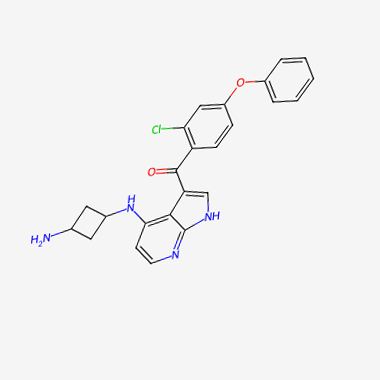 NC1CC(Nc2ccnc3[nH]cc(C(=O)c4ccc(Oc5ccccc5)cc4Cl)c23)C1